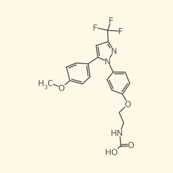 COc1ccc(-c2cc(C(F)(F)F)nn2-c2ccc(OCCNC(=O)O)cc2)cc1